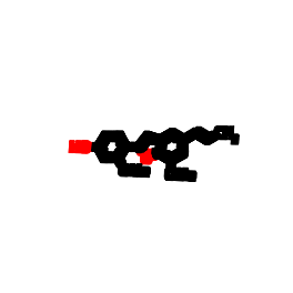 C/C=C/c1cc(OC)c2oc(-c3ccc(O)cc3OC)cc2c1